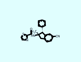 C[C@]1(NC(=O)c2nccs2)Cc2ccc(C#N)cc2[C@H]1c1ccccc1